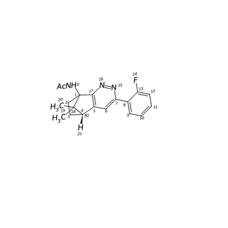 CC(=O)NC12CC[C@@H](c3cc(-c4ccccc4F)nnc31)C2(C)C